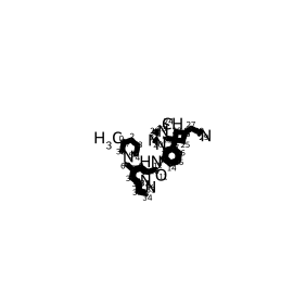 C[C@H]1CCCN(Cc2cc(C(=O)Nc3cccc(C4(c5nncn5C)CC(CC#N)C4)c3)n3nccc3c2)C1